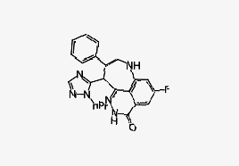 CCCn1ncnc1C1c2n[nH]c(=O)c3cc(F)cc(c23)NCC1c1ccccc1